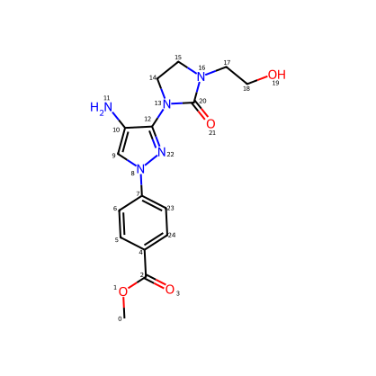 COC(=O)c1ccc(-n2cc(N)c(N3CCN(CCO)C3=O)n2)cc1